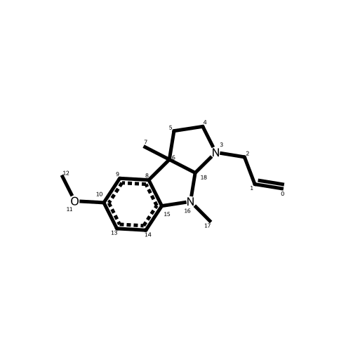 C=CCN1CCC2(C)c3cc(OC)ccc3N(C)C12